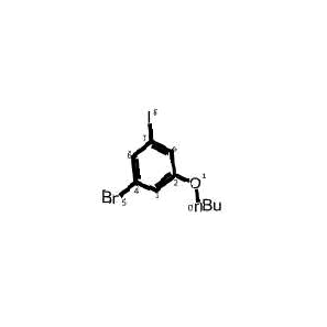 CCCCOc1cc(Br)cc(I)c1